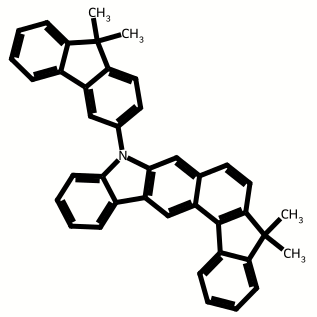 CC1(C)c2ccccc2-c2cc(-n3c4ccccc4c4cc5c6c(ccc5cc43)C(C)(C)c3ccccc3-6)ccc21